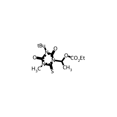 CCOC(=O)OC(C)n1c(=S)n(C)c(=O)n(C(C)(C)C)c1=O